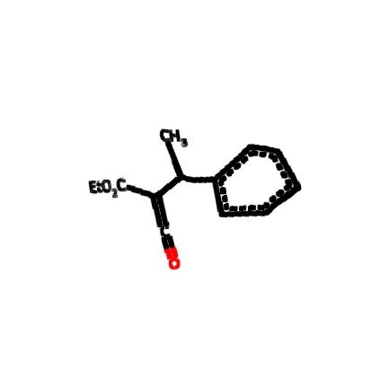 CCOC(=O)C(=C=O)C(C)c1ccccc1